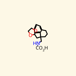 O=C(O)NCC1(CC2OCCO2)CCCc2ccccc21